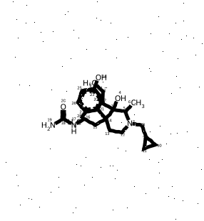 CCCC1(O)C(C)N(CC2CC2)CCC1(CCNC(N)=O)c1cc(O)ccc1C